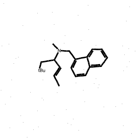 C/C=C/C(CC(C)(C)C)N(C)Cc1cccc2ccccc12